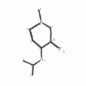 CC(C)OC1CCN(C)CC1F